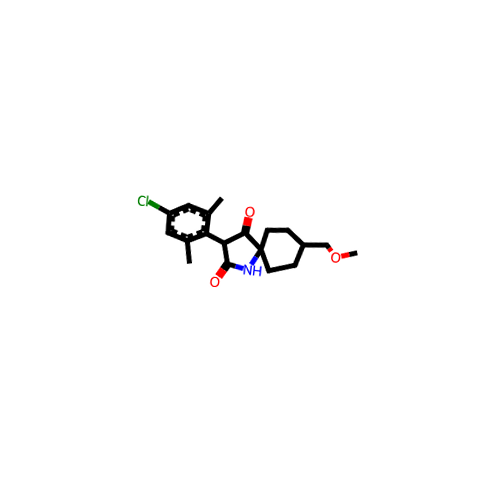 COCC1CCC2(CC1)NC(=O)C(c1c(C)cc(Cl)cc1C)C2=O